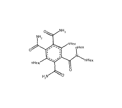 CCCCCCc1c(C(N)=O)c(C(N)=O)c(CCCCCC)c(C(=O)N(CCCCCC)CCCCCC)c1C(N)=O